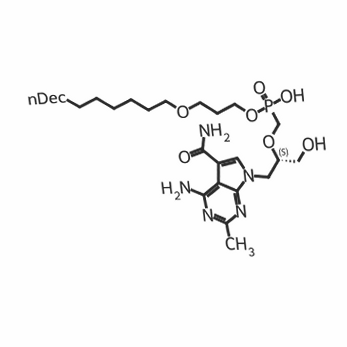 CCCCCCCCCCCCCCCCOCCCOP(=O)(O)CO[C@H](CO)Cn1cc(C(N)=O)c2c(N)nc(C)nc21